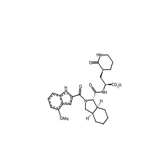 COc1cccc2[nH]c(C(=O)N3C[C@@H]4CCCC[C@@H]4[C@H]3C(=O)N[C@@H](C[C@@H]3CCCNC3=O)C(=O)O)cc12